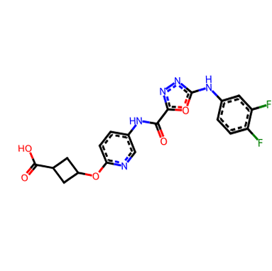 O=C(Nc1ccc(OC2CC(C(=O)O)C2)nc1)c1nnc(Nc2ccc(F)c(F)c2)o1